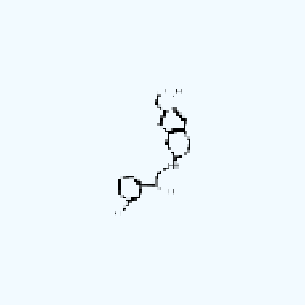 O=C(O)Cc1ccc2c(c1)CC(NCC(O)c1cccc(Cl)c1)CC2